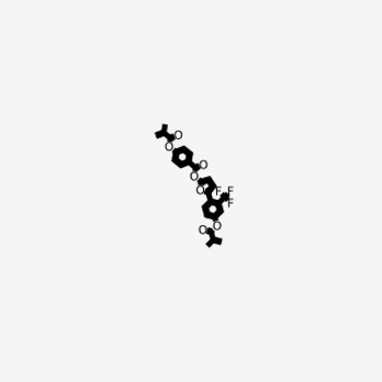 C=C(C)C(=O)Oc1ccc(C(=O)Oc2ccc(-c3ccc(OC(=O)C(=C)C)cc3C(F)(F)F)o2)cc1